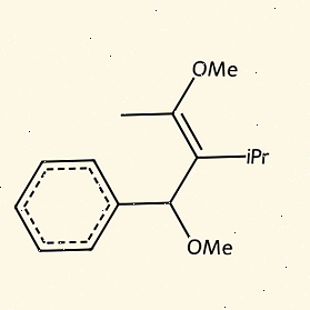 COC(C)=C(C(C)C)C(OC)c1ccccc1